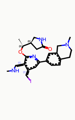 CN/C=c1/c(O[C@H](C)[C@H]2CNC(=O)C2)nc(-c2ccc3c(c2)CN(C)CC3)c/c1=C\I